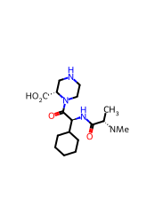 CN[C@@H](C)C(=O)N[C@H](C(=O)N1CCNC[C@H]1C(=O)O)C1CCCCC1